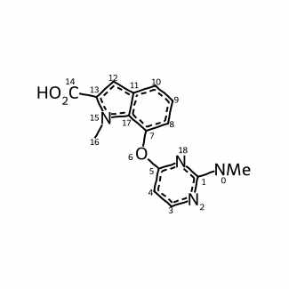 CNc1nccc(Oc2cccc3cc(C(=O)O)n(C)c23)n1